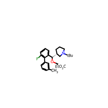 CCOC(=O)COC(c1cccc(F)c1-c1cccc(C)c1)[C@@H]1CCCN(C(C)(C)C)C1